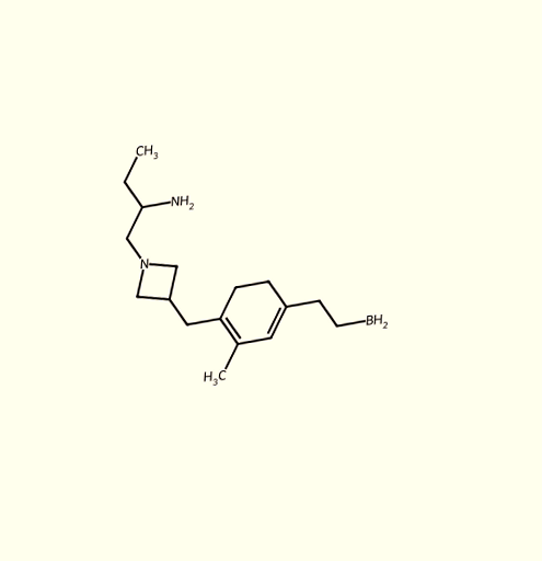 BCCC1=CC(C)=C(CC2CN(CC(N)CC)C2)CC1